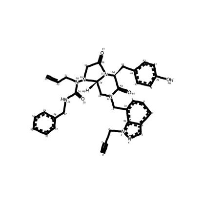 C#CCn1ncc2cccc(CN3C[C@H]4N(C(=O)CN4N(CC=C)C(=O)NCc4ccccc4)[C@@H](Cc4ccc(O)cc4)C3=O)c21